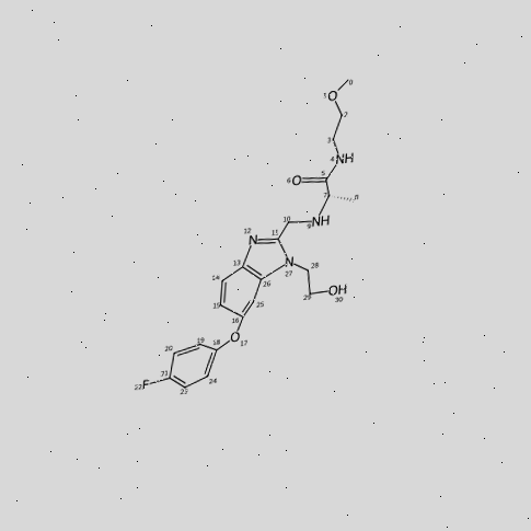 COCCNC(=O)[C@H](C)NCc1nc2ccc(Oc3ccc(F)cc3)cc2n1CCO